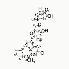 CN(c1nc(Cl)nc2c1ncn2[C@@H]1O[C@H](COP(=O)(O)CP(C)(C)=O)[C@@H](O)[C@@H]1F)C1CCCC1